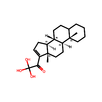 C[C@]12CCCCC1CC[C@@H]1[C@@H]2CC[C@]2(C)C(C(=O)C(O)(O)O)=CC[C@@H]12